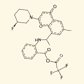 Cc1cc(C(C)Nc2ccccc2C(=O)OC(=O)C(F)(F)F)c2oc(N3CCC[C@H](F)C3)cc(=O)c2c1